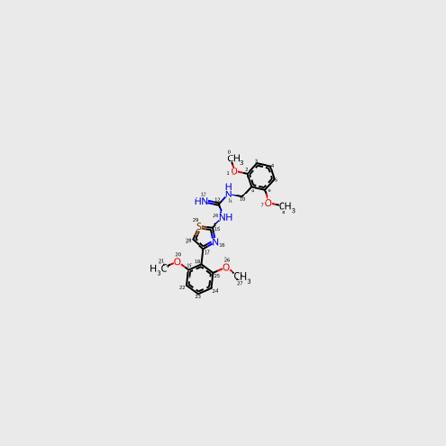 COc1cccc(OC)c1CNC(=N)Nc1nc(-c2c(OC)cccc2OC)cs1